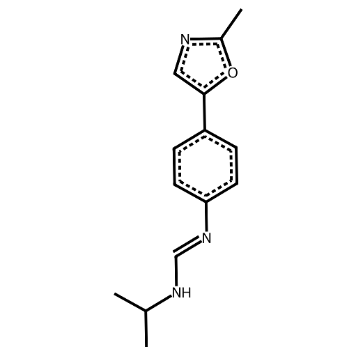 Cc1ncc(-c2ccc(N=CNC(C)C)cc2)o1